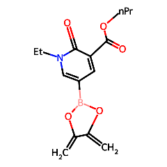 C=C1OB(c2cc(C(=O)OCCC)c(=O)n(CC)c2)OC1=C